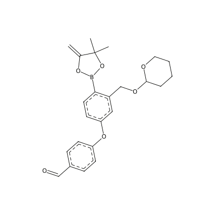 C=C1OB(c2ccc(Oc3ccc(C=O)cc3)cc2COC2CCCCO2)OC1(C)C